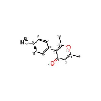 Cc1cc(=O)c(-c2ccc(C#N)cc2)c(C)o1